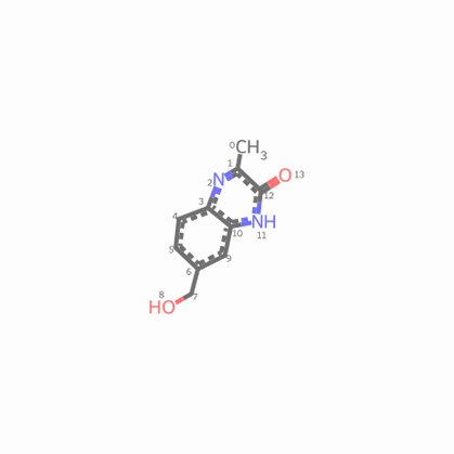 Cc1nc2ccc(CO)cc2[nH]c1=O